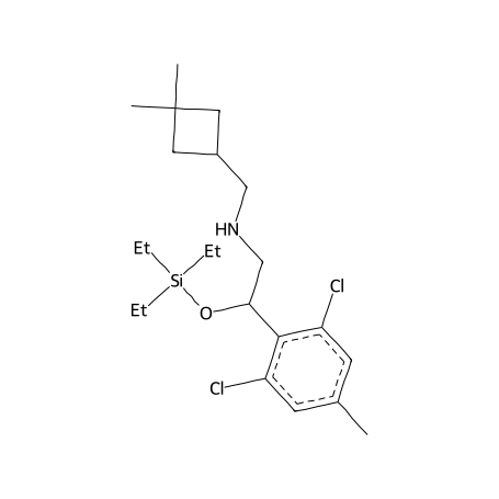 CC[Si](CC)(CC)OC(CNCC1CC(C)(C)C1)c1c(Cl)cc(C)cc1Cl